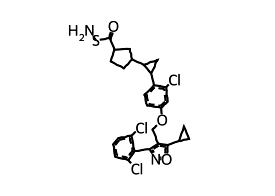 NSC(=O)C1CCC(C2CC2c2ccc(OCc3c(-c4c(Cl)cccc4Cl)noc3C3CC3)cc2Cl)C1